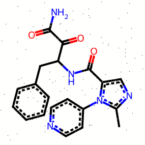 Cc1ncc(C(=O)NC(Cc2ccccc2)C(=O)C(N)=O)n1-c1ccncc1